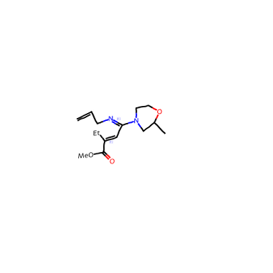 C=CC/N=C(\C=C(/CC)C(=O)OC)N1CCOC(C)C1